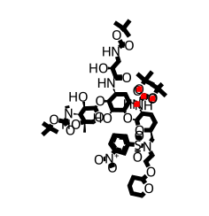 CN(C(=O)OC(C)(C)C)[C@@H]1[C@@H](O)[C@@H](O[C@@H]2[C@@H](O)[C@H](O[C@H]3O[C@H](CN(CCOC4CCCCO4)S(=O)(=O)c4cccc([N+](=O)[O-])c4)CC[C@H]3NC(=O)OC(C)(C)C)[C@@H](NC(=O)OC(C)(C)C)C[C@H]2NC(=O)[C@@H](O)CNC(=O)OC(C)(C)C)OC[C@]1(C)O